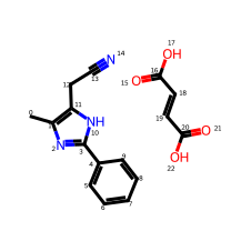 Cc1nc(-c2ccccc2)[nH]c1CC#N.O=C(O)/C=C/C(=O)O